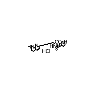 Cl.O=C(O)C(CCCCCCCc1ccc2c(n1)NCCC2)NS(=O)(=O)CC1CCCCC1